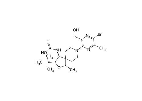 Cc1nc(N2CCC3(CC2)C(C)O[C@@H](C(C)(C)C)[C@H]3NC(=O)O)c(CO)nc1Br